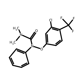 CN(C)C(=O)N(Oc1ccc(C(F)(F)F)c(Cl)c1)c1ccccc1